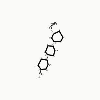 CCCO[C@@H]1CCC[C@H](C2CCC([C@H]3CC[C@H](CCC)CC3)CC2)C1